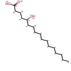 CCCCCCCCCCCCC(O)CCCC(=O)O